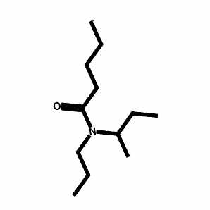 [CH2]CCCC(=O)N(CCC)C(C)CC